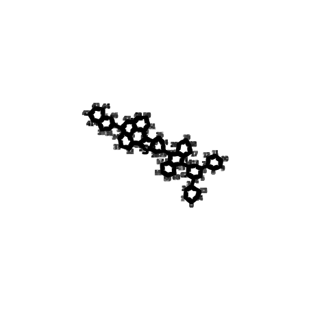 c1ccc(-c2cc(-c3ccccc3)cc(-c3c4ccccc4c(-c4ccc5c(c4)sc4c6cccc7c(-c8ccc9ccccc9c8)cc8cccc(c54)c8c76)c4ccccc34)c2)cc1